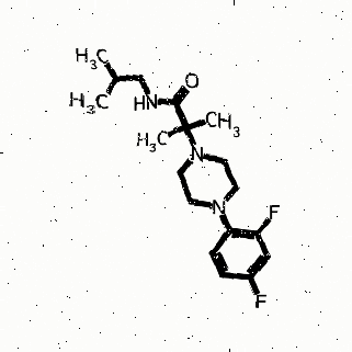 CC(C)CNC(=O)C(C)(C)N1CCN(c2ccc(F)cc2F)CC1